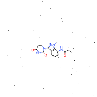 CCC(=O)Nc1cccc2c(N3CCC(=O)NC3=O)nn(C)c12